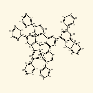 c1ccc(-c2ccc(-c3cc(-c4nc(-c5ccccc5)nc5c4sc4ccccc45)cc(-c4ccc(-c5ccccc5)cc4)c3-n3c4ccc(-c5ccccc5)cc4c4cc(-c5ccccc5)ccc43)cc2)cc1